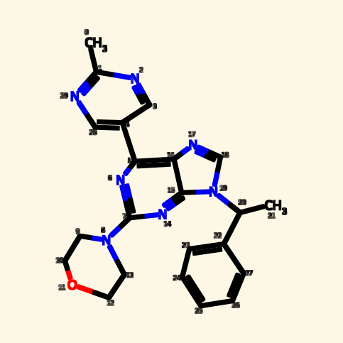 Cc1ncc(-c2nc(N3CCOCC3)nc3c2ncn3C(C)c2ccccc2)cn1